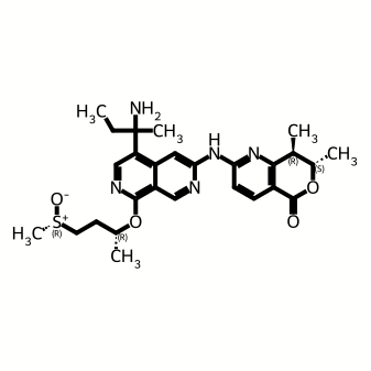 CCC(C)(N)c1cnc(O[C@H](C)CC[S@+](C)[O-])c2cnc(Nc3ccc4c(n3)[C@@H](C)[C@H](C)OC4=O)cc12